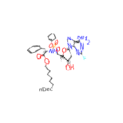 CCCCCCCCCCCCCCCCOC(=O)[C@H](Cc1ccccc1)NP(=O)(OC[C@@]1(C)O[C@@H](n2cnc3c(N)nc(F)nc32)C[C@@H]1O)Oc1ccccc1